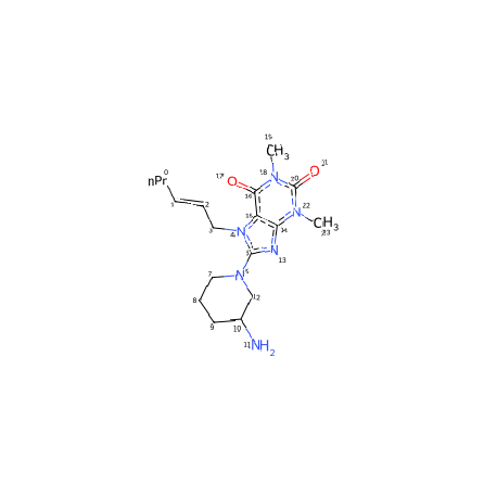 CCCC=CCn1c(N2CCCC(N)C2)nc2c1c(=O)n(C)c(=O)n2C